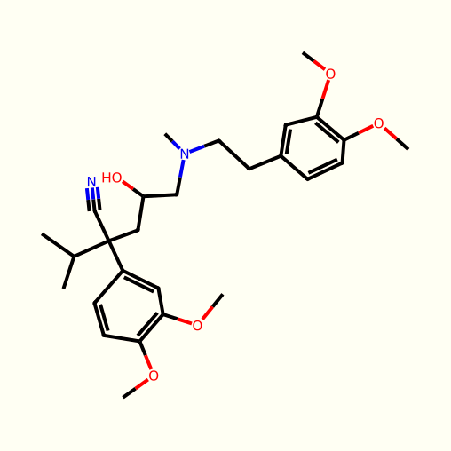 COc1ccc(CCN(C)CC(O)CC(C#N)(c2ccc(OC)c(OC)c2)C(C)C)cc1OC